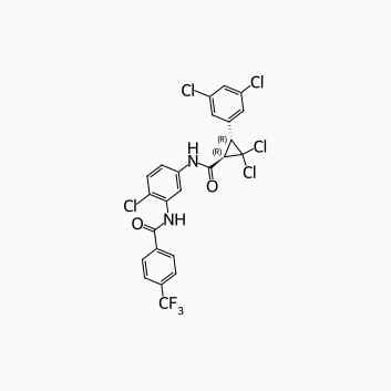 O=C(Nc1cc(NC(=O)[C@H]2[C@H](c3cc(Cl)cc(Cl)c3)C2(Cl)Cl)ccc1Cl)c1ccc(C(F)(F)F)cc1